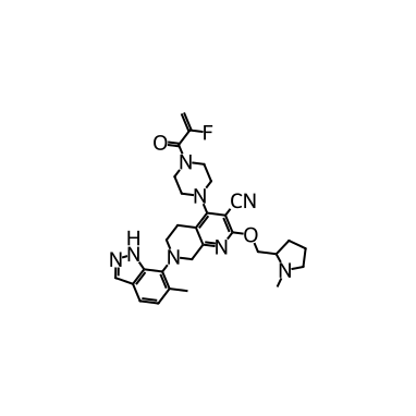 C=C(F)C(=O)N1CCN(c2c(C#N)c(OCC3CCCN3C)nc3c2CCN(c2c(C)ccc4cn[nH]c24)C3)CC1